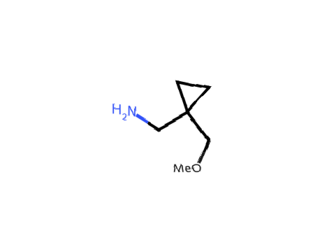 COCC1(CN)CC1